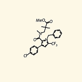 COC(=O)C(C)(C)CN(C)C(=O)c1c(-c2ccc(Cl)cc2)cc(C(F)(F)F)n1Cc1ccccc1